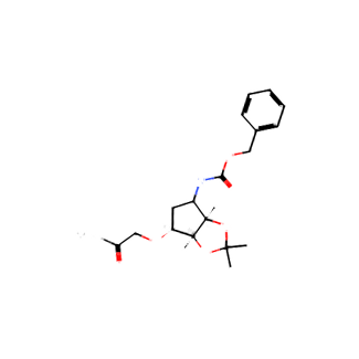 COC(=O)CO[C@H]1CC(NC(=O)OCc2ccccc2)[C@@H]2OC(C)(C)O[C@H]12